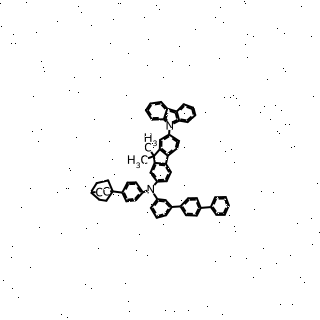 CC1(C)c2cc(N(c3ccc(C45CCC(CC4)CC5)cc3)c3cccc(-c4ccc(-c5ccccc5)cc4)c3)ccc2-c2ccc(-n3c4ccccc4c4ccccc43)cc21